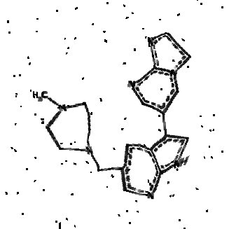 CN1CCN(Cc2cnc3[nH]cc(-c4cnc5nccn5c4)c3c2)CC1